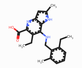 CCc1cccc(C)c1CNc1c(CC)c(C(=O)O)nc2cc(C)[nH]c12